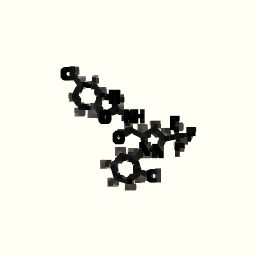 O=C(Nc1nc2cc(Cl)ccc2o1)c1cc(C(F)(F)F)nn1-c1ccccc1Cl